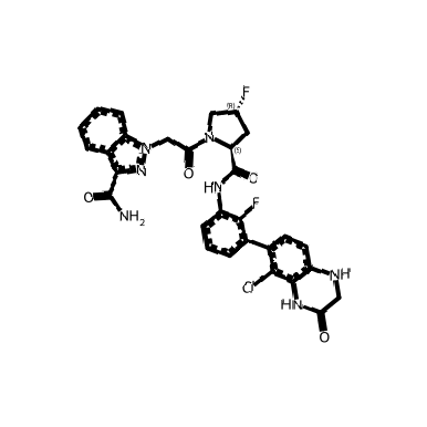 NC(=O)c1nn(CC(=O)N2C[C@H](F)C[C@H]2C(=O)Nc2cccc(-c3ccc4c(c3Cl)NC(=O)CN4)c2F)c2ccccc12